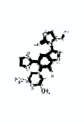 C[C@@H]1CN(c2c(C3OCCO3)cc3c(N4C(=O)OC[C@@H]4CF)noc3c2F)C[C@H](C)O1